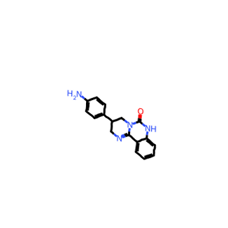 Nc1ccc(C2CN=C3c4ccccc4NC(=O)N3C2)cc1